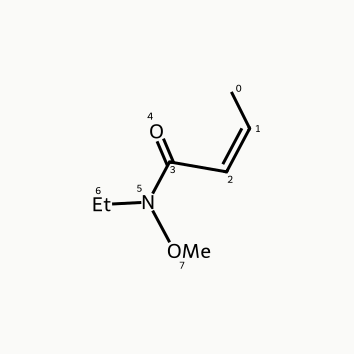 C/C=C\C(=O)N(CC)OC